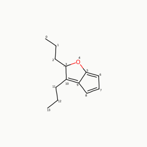 CCC[C]1OC2=CC=CC2=C1CCC